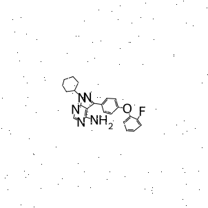 Nc1ncnc2c1c(-c1ccc(Oc3ccccc3F)cc1)nn2C1CCCCC1